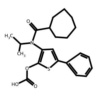 CC(C)N(C(=O)C1CCCCCC1)c1cc(-c2ccccc2)sc1OC(=O)O